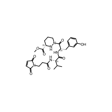 COC(=O)[C@@H]1CCCN(C(=O)[C@H](Cc2cccc(O)c2)NC(=O)[C@@H](NC(=O)CCN2C(=O)C=CC2=O)C(C)C)N1